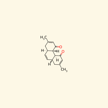 CC1=CC(=O)[C@@H]2[C@H]3C(=O)C=C(C)C[C@@H]3C=C[C@H]2C1